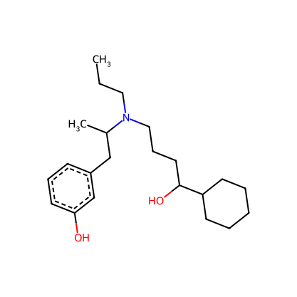 CCCN(CCCC(O)C1CCCCC1)C(C)Cc1cccc(O)c1